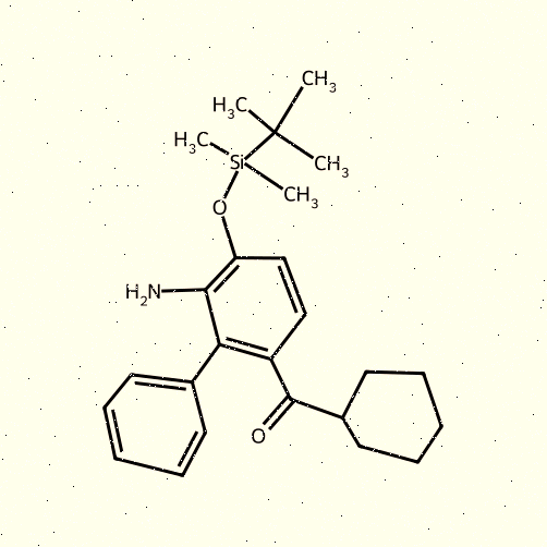 CC(C)(C)[Si](C)(C)Oc1ccc(C(=O)C2CCCCC2)c(-c2ccccc2)c1N